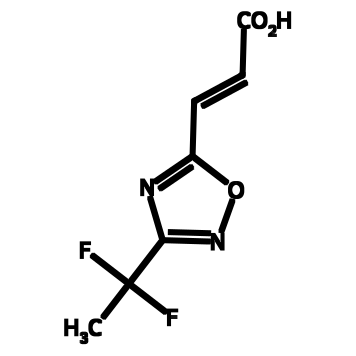 CC(F)(F)c1noc(/C=C/C(=O)O)n1